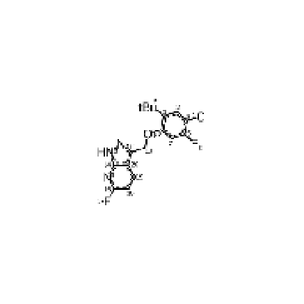 CC(C)(C)c1cc(Cl)c(F)cc1OCc1n[nH]c2nc(F)ccc12